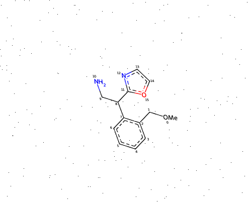 COCc1ccccc1C(CN)c1ncco1